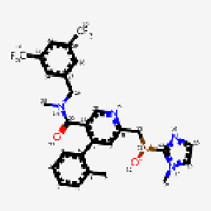 Cc1ccccc1-c1cc(C[S+]([O-])c2nccn2C)ncc1C(=O)N(C)Cc1cc(C(F)(F)F)cc(C(F)(F)F)c1